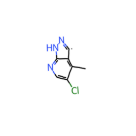 Cc1c(Cl)cnc2[nH]n[c]c12